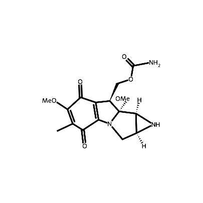 COC1=C(C)C(=O)C2=C(C1=O)[C@@H](COC(N)=O)[C@@]1(OC)[C@H]3N[C@H]3CN21